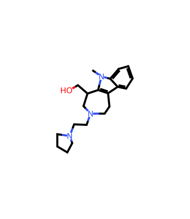 Cn1c2c(c3ccccc31)CCN(CCN1CCCC1)CC2CO